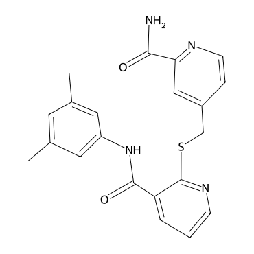 Cc1cc(C)cc(NC(=O)c2cccnc2SCc2ccnc(C(N)=O)c2)c1